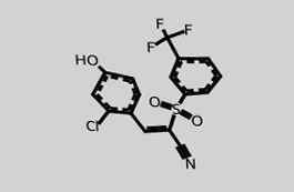 N#C/C(=C/c1ccc(O)cc1Cl)S(=O)(=O)c1cccc(C(F)(F)F)c1